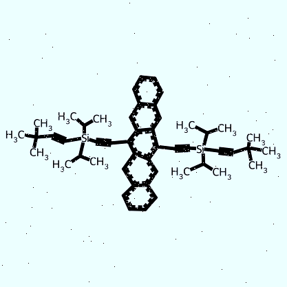 CC(C)[Si](C#Cc1c2cc3ccccc3cc2c(C#C[Si](C#CC(C)(C)C)(C(C)C)C(C)C)c2cc3ccccc3cc12)(C#CC(C)(C)C)C(C)C